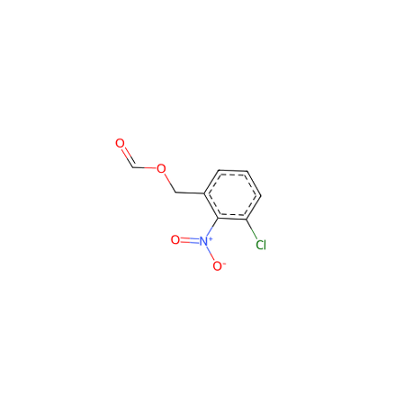 O=COCc1cccc(Cl)c1[N+](=O)[O-]